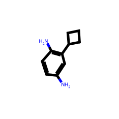 Nc1ccc(N)c(C2CCC2)c1